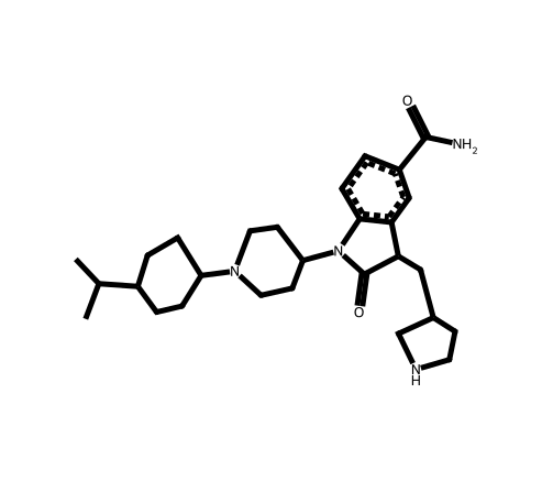 CC(C)C1CCC(N2CCC(N3C(=O)C(CC4CCNC4)c4cc(C(N)=O)ccc43)CC2)CC1